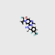 Cc1nc(N[C@H](C)c2cccc(C(F)F)c2F)c2cn(C3(CF)CC3)c(=O)cc2n1